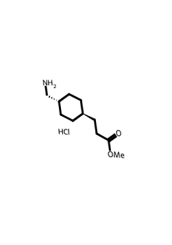 COC(=O)CC[C@H]1CC[C@H](CN)CC1.Cl